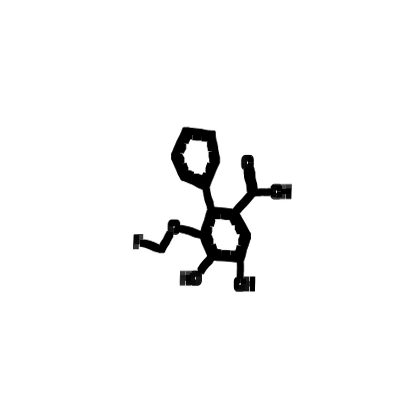 O=C(O)c1cc(O)c(O)c(OCF)c1-c1ccccc1